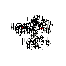 CC(C)(C)OC(=O)CN(CC(=O)OC(C)(C)C)C(CNC(=O)CN(CC(=O)NCC(C(=O)OC(C)(C)C)N(CC(=O)OC(C)(C)C)CC(=O)OC(C)(C)C)[C@H](CCCCN)C(=O)NCC(C(=O)OC(C)(C)C)N(CC(=O)OC(C)(C)C)CC(=O)OC(C)(C)C)C(=O)OC(C)(C)C